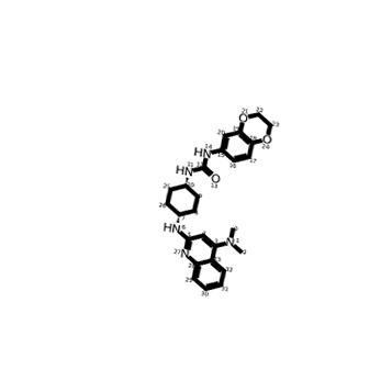 CN(C)c1cc(N[C@H]2CC[C@@H](NC(=O)Nc3ccc4c(c3)OCCO4)CC2)nc2ccccc12